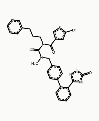 CCc1cc(C(=O)N(CCCc2ccccc2)C(=O)N(C)Cc2ccc(-c3ccccc3-c3noc(=O)[nH]3)cc2)cs1